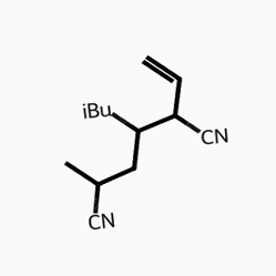 C=CC(C#N)C(CC(C)C#N)C(C)CC